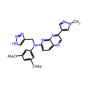 COc1cc(OC)cc(N(Cc2c[nH]nn2)c2ccc3ncc(-c4cnn(C)c4)nc3n2)c1